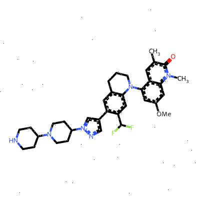 COc1cc(N2CCCc3cc(-c4cnn(C5CCN(C6CCNCC6)CC5)c4)c(C(F)F)cc32)c2cc(C)c(=O)n(C)c2c1